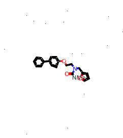 CNC(=O)N(CCOc1ccc(-c2ccccc2)cc1)Cc1ccco1